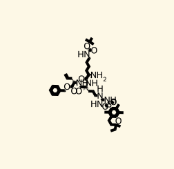 C=CC[C@H](NC(=O)[C@@H](CCCNC(=N)NS(=O)(=O)c1c(C)c(C)c2c(c1C)CCC(C)(CC)O2)NC(=O)[C@H](N)CCCCNC(=O)OC(C)(C)C)C(=O)OCc1ccccc1